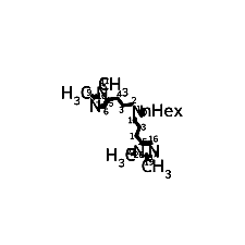 CCCCCCN(CCCc1cnc(C)n1C)CCCc1cnc(C)n1C